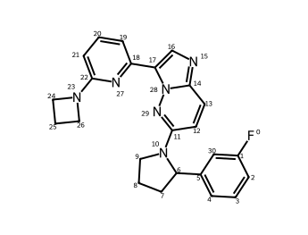 Fc1cccc(C2CCCN2c2ccc3ncc(-c4cccc(N5CCC5)n4)n3n2)c1